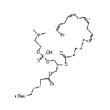 CC/C=C\C/C=C\C/C=C\C/C=C\CCCCC(=O)OC(COC(=O)CCCCCCCCCCCCCC)COP(=O)(O)OCCN(C)C